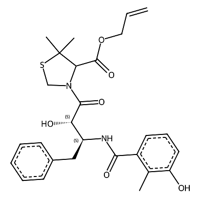 C=CCOC(=O)C1N(C(=O)[C@@H](O)[C@H](Cc2ccccc2)NC(=O)c2cccc(O)c2C)CSC1(C)C